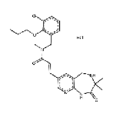 CCCOc1c(Cl)cccc1CN(C)C(=O)C=Cc1cnc2c(c1)CNC(C)(C)C(=O)N2.Cl